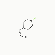 CCC/C=C\C1CCC(F)CC1